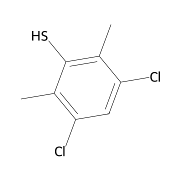 Cc1c(Cl)cc(Cl)c(C)c1S